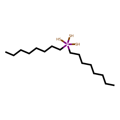 CCCCCCCCP(S)(S)(S)CCCCCCCC